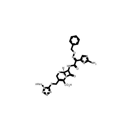 CCCCCCn1nnnc1SCC1=C(C(=O)O)N2C(=O)C(NC(=O)C(=NOCc3ccccc3)c3csc(N)n3)[C@@H]2SC1